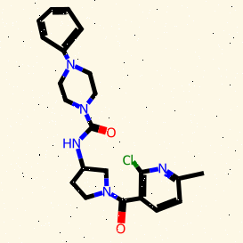 Cc1ccc(C(=O)N2CCC(NC(=O)N3CCN(c4ccccc4)CC3)C2)c(Cl)n1